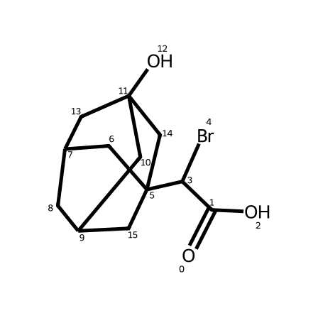 O=C(O)C(Br)C12CC3CC(CC(O)(C3)C1)C2